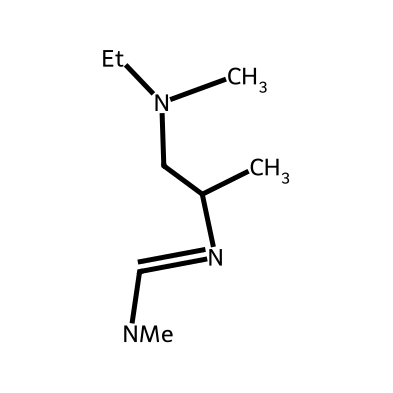 CCN(C)CC(C)/N=C/NC